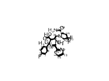 C[C@@]1(c2ccc(F)cc2)N=C(c2nccs2)NC(CN2CC(F)(F)C[C@H]2C(N)=O)=C1C(=O)O